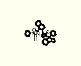 C1=CC2c3ccccc3C3(c4ccccc4Oc4c(-c5ccc6ccccc6c5C5=NN[C@@H](c6ccccc6)O5)cccc43)C2C=C1